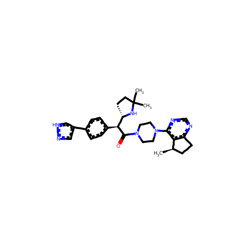 C[C@@H]1CCc2ncnc(N3CCN(C(=O)[C@@H](c4ccc(-c5cn[nH]c5)cc4)[C@@H]4CCC(C)(C)N4)CC3)c21